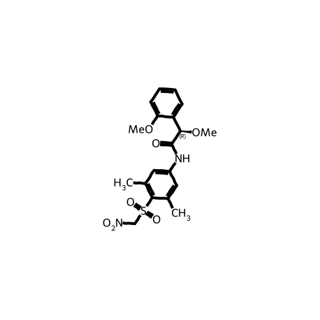 COc1ccccc1[C@@H](OC)C(=O)Nc1cc(C)c(S(=O)(=O)C[N+](=O)[O-])c(C)c1